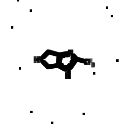 FC(F)(F)c1nc2c([nH]1)CNC2